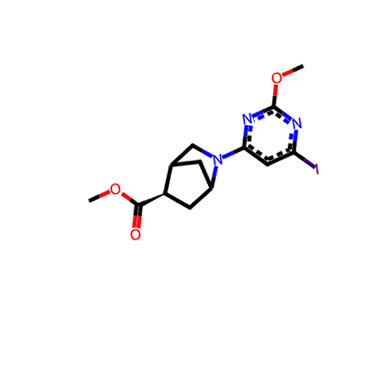 COC(=O)[C@@H]1CC2CC1CN2c1cc(I)nc(OC)n1